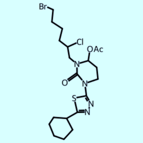 CC(=O)OC1CCN(c2nnc(C3CCCCC3)s2)C(=O)N1CC(Cl)CCCCBr